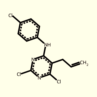 C=CCc1c(Cl)nc(Cl)nc1Nc1ccc(Cl)cc1